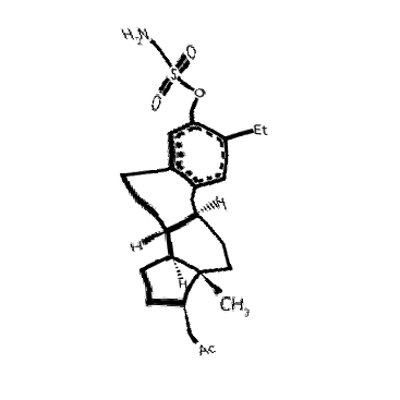 CCc1cc2c(cc1OS(N)(=O)=O)CC[C@@H]1[C@@H]2CC[C@]2(C)[C@@H](C(C)=O)CC[C@@H]12